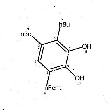 CCCCCc1cc(CCCC)c(CCCC)c(O)c1O